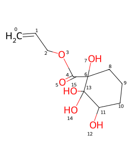 C=CCOC(=O)C1(O)CCCC(O)C1(O)O